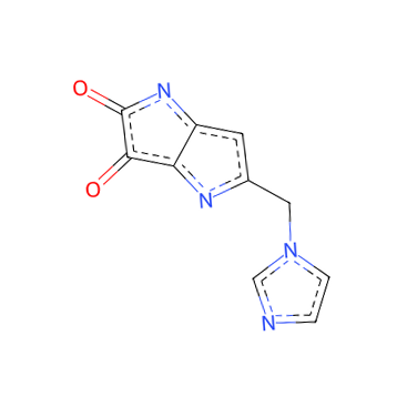 O=c1nc2cc(Cn3ccnc3)nc-2c1=O